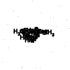 COCCOC1C[C@H]2COC3=N/C(=C(/C=N)c4cc(cc(OC(C)C)c4)NCCN2C1=O)NC=C3